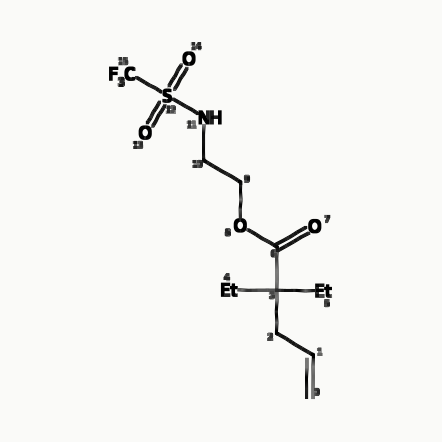 C=CCC(CC)(CC)C(=O)OCCNS(=O)(=O)C(F)(F)F